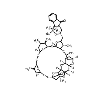 C=C1C[C@@H]2CC[C@@]34C[C@]5(C)O[C@H]6[C@@H](O3)[C@H]3O[C@H](CC[C@@H]3O[C@H]6[C@H]5O4)CC(O)CC3[C@@H](C)C(C[C@@H](CN4C(=O)c5ccccc5C4=O)O[Si](C)(C)C(C)(C)C)O[C@H]3CC3O[C@@H](CCC1O2)C[C@@H](C)C3=C